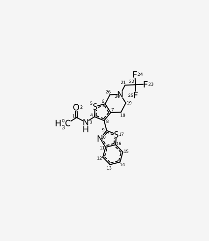 CC(=O)Nc1sc2c(c1-c1nc3ccccc3s1)CCN(CC(F)(F)F)C2